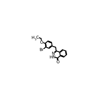 CCOc1ccc(Cc2n[nH]c(=O)c3ccccc23)cc1Br